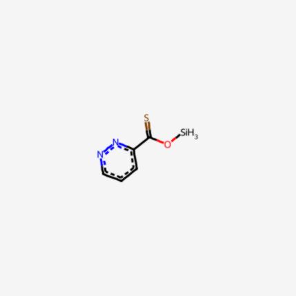 [SiH3]OC(=S)c1cccnn1